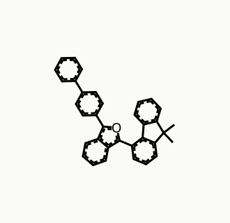 CC1(C)c2ccccc2-c2c(-c3oc(-c4ccc(-c5ccccc5)cc4)c4ccccc34)cccc21